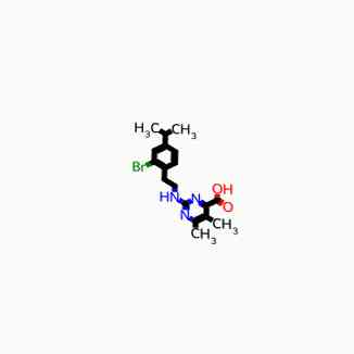 Cc1nc(NCCc2ccc(C(C)C)cc2Br)nc(C(=O)O)c1C